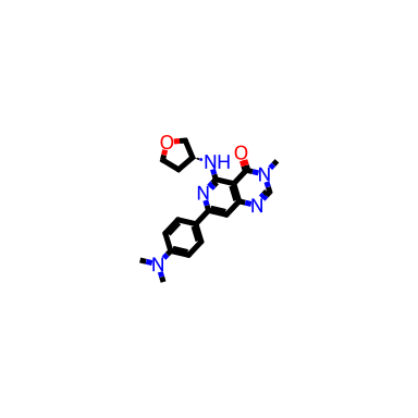 CN(C)c1ccc(-c2cc3ncn(C)c(=O)c3c(N[C@@H]3CCOC3)n2)cc1